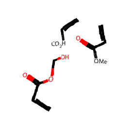 C=CC(=O)O.C=CC(=O)OC.C=CC(=O)OCO